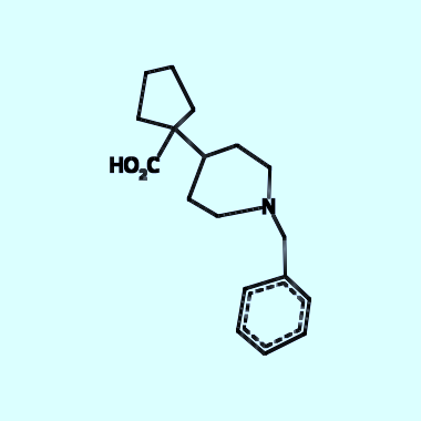 O=C(O)C1(C2CCN(Cc3ccccc3)CC2)CCCC1